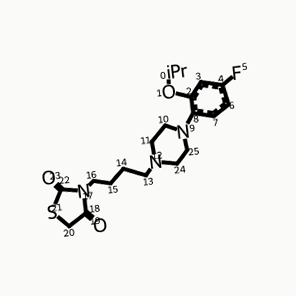 CC(C)Oc1cc(F)ccc1N1CCN(CCCCN2C(=O)CSC2=O)CC1